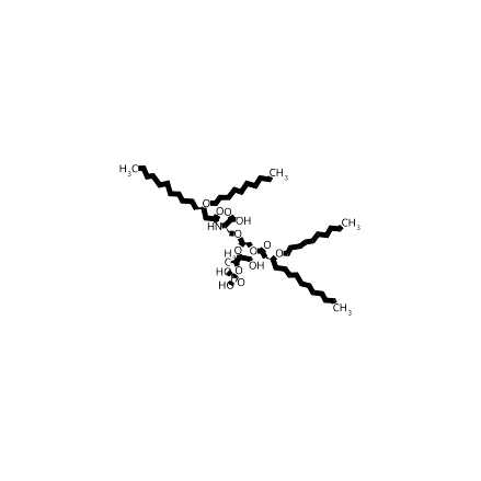 CCCCCCCCCCC[C@H](CC(=O)N[C@@H](CO[C@@H](COC(=O)C[C@@H](CCCCCCCCCCC)OCCCCCCCCCC)OC(CO)[C@H](C)OP(=O)(O)O)C(=O)O)OCCCCCCCCCC